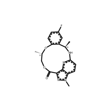 C[C@H]1COC(=O)c2nn(C)c3ccc(nc23)N[C@H](C)c2cc(F)ccc2O1